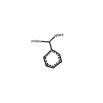 [CH2]CCCCCC(CCCCC[CH2])c1ccccc1